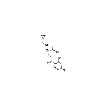 CC(=N)/C(=C\NCC1CC1)CCC(=O)c1ccc(F)cc1Br